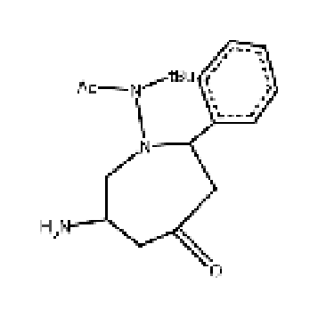 CC(=O)N(N1CC(N)CC(=O)CC1c1ccccc1)C(C)(C)C